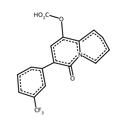 O=C(O)Oc1cc(-c2cccc(C(F)(F)F)c2)c(=O)n2ccccc12